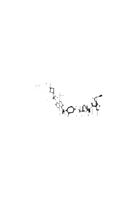 C#CCn1cc(-c2cnc(C(=O)Nc3ccc(C(=O)N4CCN(C(=O)N[C@H]5C[C@@H](N)C5)CC4)c(C)c3)n2C)c(C(F)(F)F)n1